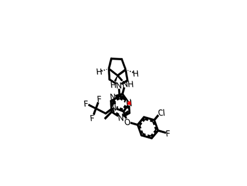 Cc1cc(N2C[C@H]3CC[C@@H](C2)[C@@H]3Nc2nc(Oc3ccc(F)c(Cl)c3)n(CC(F)(F)F)n2)ncn1